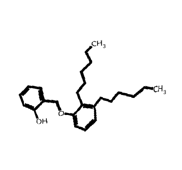 CCCCCCc1cccc(OCc2ccccc2O)c1CCCCCC